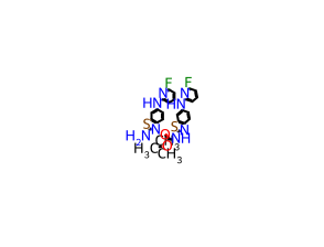 CC(C)(C)OC(=O)Nc1nc2ccc(Nc3cccc(F)n3)cc2s1.Nc1nc2ccc(Nc3cccc(F)n3)cc2s1